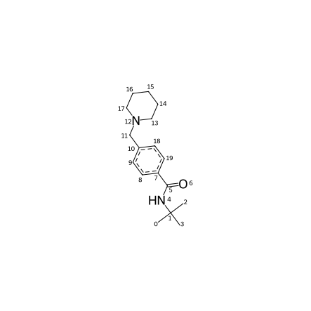 CC(C)(C)NC(=O)c1ccc(CN2CCCCC2)cc1